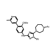 COc1cc(Nc2nc(N3CCCN(C(C)=O)CC3)n(C(C)C)n2)ccc1-c1ccnc(C)c1